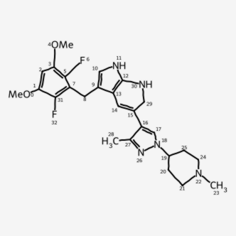 COc1cc(OC)c(F)c(Cc2c[nH]c3c2C=C(c2cn(C4CCN(C)CC4)nc2C)CN3)c1F